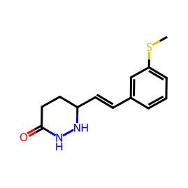 CSc1cccc(/C=C/C2CCC(=O)NN2)c1